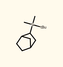 CC(C)(C)[Si](C)(C)C1CC2CCC1C2